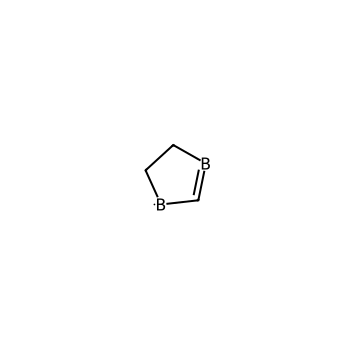 [B]1C=BCC1